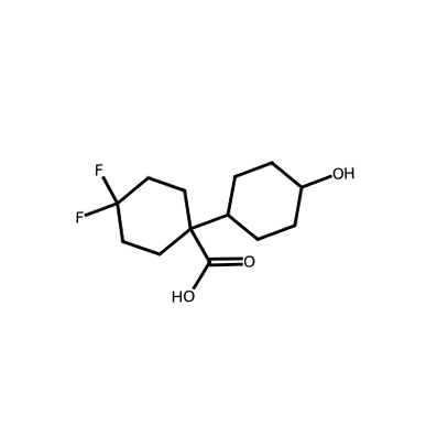 O=C(O)C1(C2CCC(O)CC2)CCC(F)(F)CC1